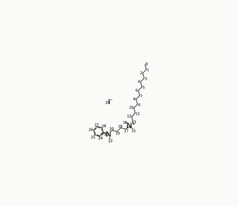 CCCCCCCCCCCCCC[N+](C)(C)CCCCN(C)c1ccccc1.[I-]